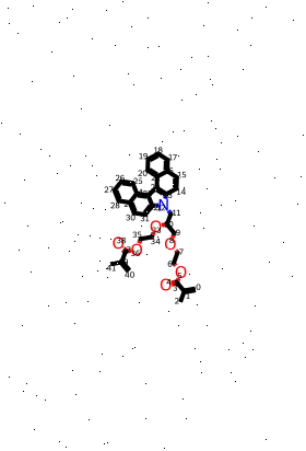 C=C(C)C(=O)OCCOCC(Cn1c2ccc3ccccc3c2c2c3ccccc3ccc21)OCCOC(=O)C(=C)C